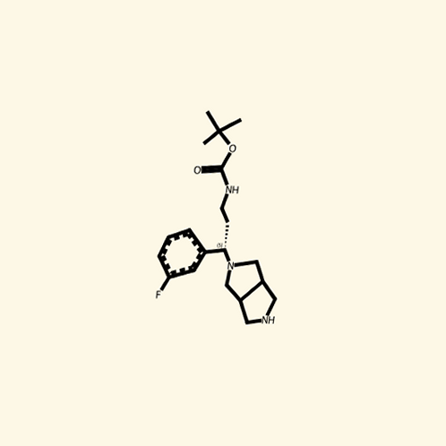 CC(C)(C)OC(=O)NCC[C@@H](c1cccc(F)c1)N1CC2CNCC2C1